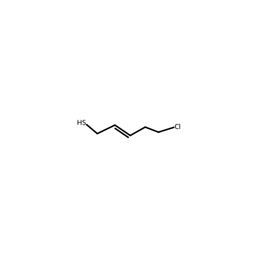 SCC=CCCCl